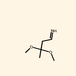 COC(C)(CC=N)OC